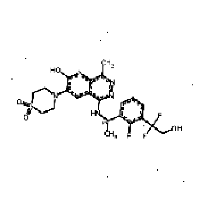 Cc1nnc(N[C@H](C)c2cccc(C(F)(F)CO)c2F)c2cc(N3CCS(=O)(=O)CC3)c(O)nc12